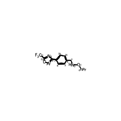 CCCONCc1ccc(-c2noc(C(F)(F)F)n2)cc1